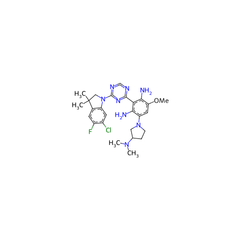 COc1cc(N2CCC(N(C)C)C2)c(N)c(-c2ncnc(N3CC(C)(C)c4cc(F)c(Cl)cc43)n2)c1N